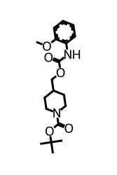 COc1ccccc1NC(=O)OCC1CCN(C(=O)OC(C)(C)C)CC1